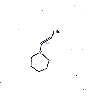 [CH2]CCC/C=C/N1CCCCC1